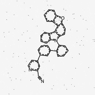 N#Cc1cc(-c2cccc(-c3ccccc3-n3c4ccccc4c4c5c(ccc43)oc3ccccc35)c2)ccn1